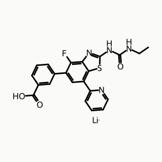 CCNC(=O)Nc1nc2c(F)c(-c3cccc(C(=O)O)c3)cc(-c3ccccn3)c2s1.[Li]